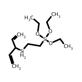 C=CC(C=C)[SiH2]CC[Si](OCC)(OCC)OCC